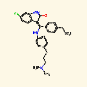 CN(C)CCCc1ccc(NC(=C2C(=O)Nc3cc(Cl)ccc32)c2ccc(CC(=O)O)cc2)cc1